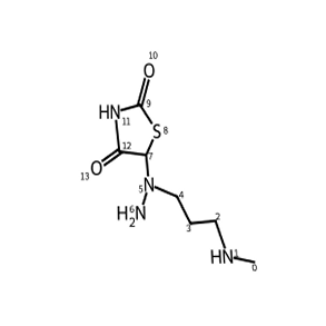 CNCCCN(N)C1SC(=O)NC1=O